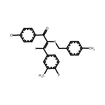 Cc1ccc(CSC(C(=O)c2ccc(Cl)cc2)=C(I)c2ccc(F)c(C)c2)cc1